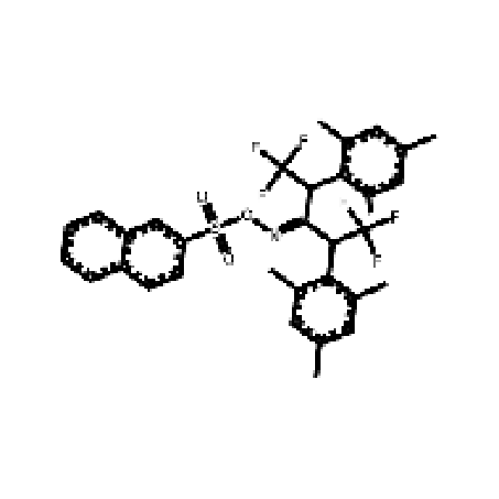 Cc1cc(C)c(C(C(=NOS(=O)(=O)c2ccc3ccccc3c2)C(c2c(C)cc(C)cc2C)C(F)(F)F)C(F)(F)F)c(C)c1